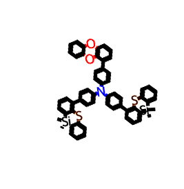 C[Si]1(C)c2ccccc2Sc2c(-c3ccc(N(c4ccc(-c5cccc6c5Oc5ccccc5O6)cc4)c4ccc(-c5cccc6c5Sc5ccccc5[Si]6(C)C)cc4)cc3)cccc21